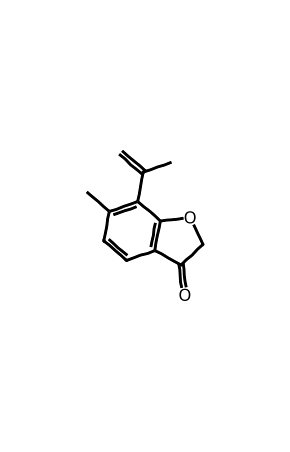 C=C(C)c1c(C)ccc2c1OCC2=O